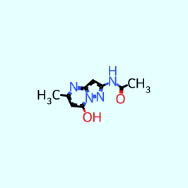 CC(=O)Nc1cc2nc(C)cc(O)n2n1